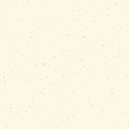 COc1ncc2c(Br)n[nH]c2n1